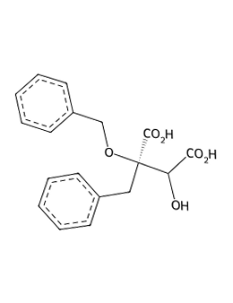 O=C(O)C(O)[C@@](Cc1ccccc1)(OCc1ccccc1)C(=O)O